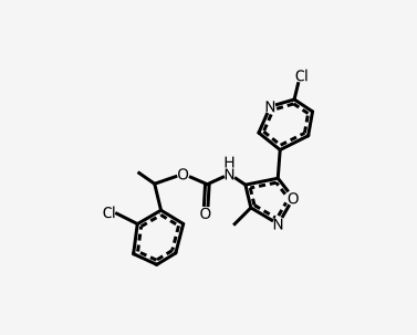 Cc1noc(-c2ccc(Cl)nc2)c1NC(=O)OC(C)c1ccccc1Cl